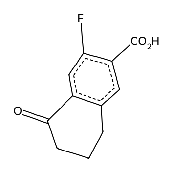 O=C(O)c1cc2c(cc1F)C(=O)CCC2